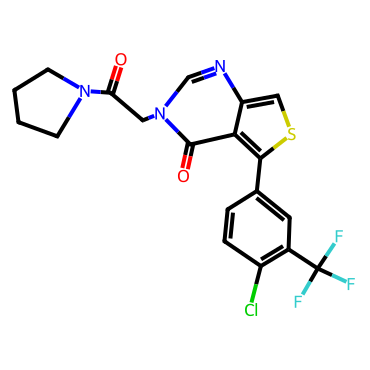 O=C(Cn1cnc2csc(-c3ccc(Cl)c(C(F)(F)F)c3)c2c1=O)N1CCCC1